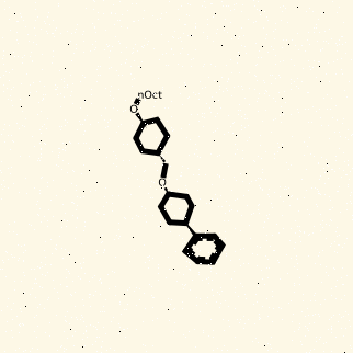 CCCCCCCCO[C@H]1CC[C@H](CO[C@H]2CC[C@H](c3ccccc3)CC2)CC1